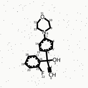 C#CC(O)(c1ccc(N2CCOCC2)cc1)c1ccccc1F